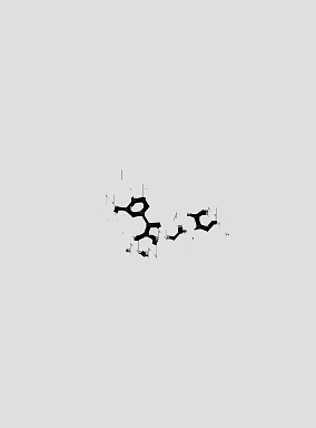 COc1cc(NC(=O)Cn2cc(-c3cc(F)c(O)c(C(N)=O)c3)c3c(=O)n(C)cnc32)c(Cl)cn1